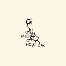 CO[C@@]1(NC(=O)CSc2ccon2)C(=O)N2C(C(=O)O)=C(COC(C)=O)CS[C@@H]21